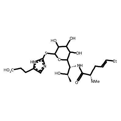 CC/C=C/C[C@H](NC)C(=O)N[C@@H](C1OC(Sc2ncc(CCC(=O)O)[nH]2)C(O)C(O)C1O)[C@@H](C)O